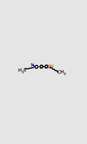 CCCCCCC[C@]1(C#N)CC[C@H](c2ccc(-c3ccc(OCC(F)CCCCCC)cc3)cc2)CC1